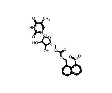 Cc1cn([C@@H]2O[C@H](COC(=O)OCc3cccc4cccc([N+](=O)[O-])c34)C(O)C2O)c(=O)[nH]c1=O